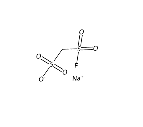 O=S(=O)([O-])CS(=O)(=O)F.[Na+]